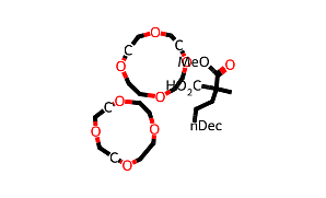 C1COCCOCCOCCO1.C1COCCOCCOCCO1.CCCCCCCCCCCCC(C)(C(=O)O)C(=O)OC